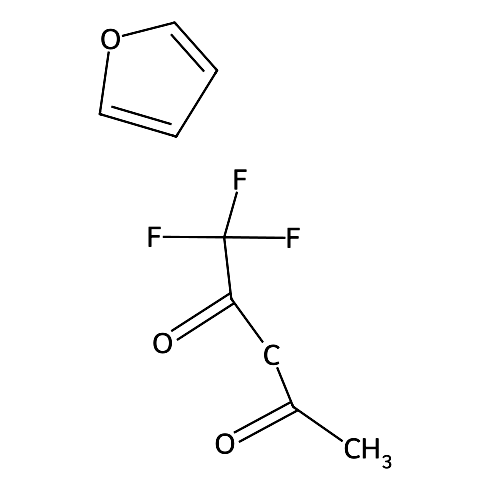 CC(=O)CC(=O)C(F)(F)F.c1ccoc1